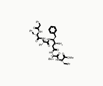 CC[C@H](C)[C@H](NC(=O)C[C@H](N)[C@H](Cc1ccccc1)NC(=O)[C@@H](NC(=O)[C@H](CC(C)C)NC(=O)CC(C)C)C(C)C)C(=O)N[C@@H](CC(C)C)C(=O)OC